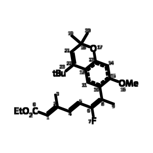 CCOC(=O)/C=C(C)/C=C/C(F)=C(/C)c1cc2c(cc1OC)OC(C)(C)C=C2C(C)(C)C